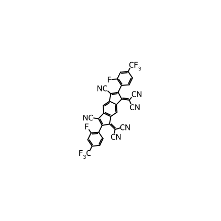 N#CC(C#N)=C1C(c2ccc(C(F)(F)F)cc2F)=C(C#N)c2cc3c(cc21)C(=C(C#N)C#N)C(c1ccc(C(F)(F)F)cc1F)=C3C#N